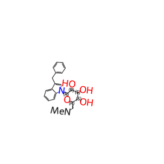 CNC[C@H]1O[C@@H](n2cc(Cc3ccccc3)c3ccccc32)[C@H](O)[C@@H](O)[C@@H]1O